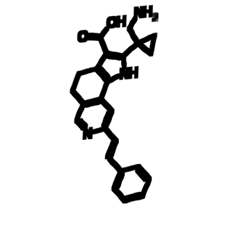 NCC1(c2[nH]c3c(c2C(=O)O)CCc2cnc(C=Cc4ccccc4)cc2-3)CC1